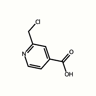 O=C(O)c1ccnc(CCl)c1